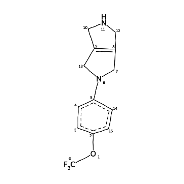 FC(F)(F)Oc1ccc(N2CC3=C(CNC3)C2)cc1